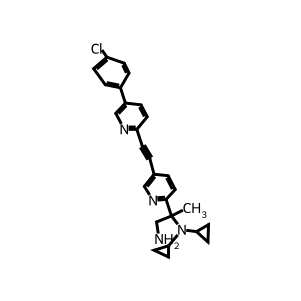 CC(CN)(c1ccc(C#Cc2ccc(-c3ccc(Cl)cc3)cn2)cn1)N(C1CC1)C1CC1